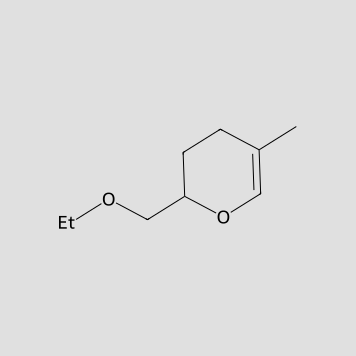 CCOCC1CCC(C)=CO1